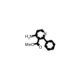 COC(=O)c1c(N)ccnc1-c1ccccc1